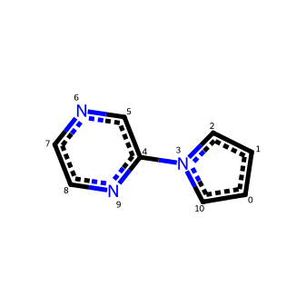 c1ccn(-c2cnccn2)c1